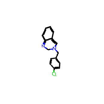 Clc1ccc(CN2C=c3ccccc3=NC2)cc1